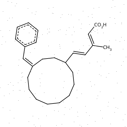 CC(C=CC1CCCCCCCCC(=Cc2ccccc2)CC1)=CC(=O)O